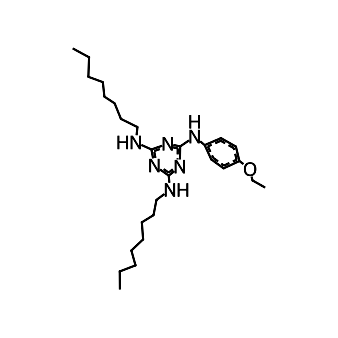 CCCCCCCCNc1nc(NCCCCCCCC)nc(Nc2ccc(OCC)cc2)n1